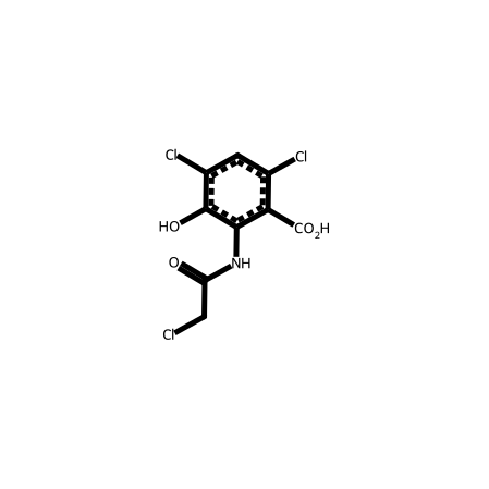 O=C(CCl)Nc1c(O)c(Cl)cc(Cl)c1C(=O)O